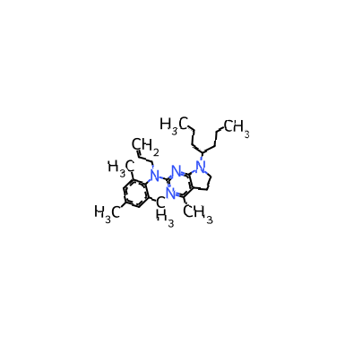 C=CCN(c1nc(C)c2c(n1)N(C(CCC)CCC)CC2)c1c(C)cc(C)cc1C